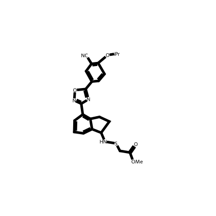 COC(=O)CSNC1CCc2c(-c3noc(-c4ccc(OC(C)C)c(C#N)c4)n3)cccc21